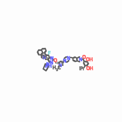 Cc1cccc2cccc(-c3ncc4c(N5CC6CCC(C5)N6)nc(OC[C@@H]5C[C@H](N6CCN(Cc7ccc8c(c7)CN(C(=O)c7cc(C(C)C)c(O)cc7O)C8)CC6)CN5C)nc4c3F)c12